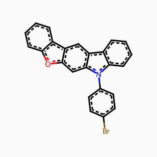 Brc1ccc(-n2c3ccccc3c3cc4c(cc32)oc2ccccc24)cc1